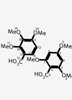 COc1cc(OC)c(C(=O)O)c(OC)c1.COc1ccc(C(=O)O)c(OC)c1OC